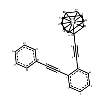 C(#Cc1ccccc1C#C[C]12[CH]3[CH]4[CH]5[CH]1[Fe]45321678[CH]2[CH]1[CH]6[CH]7[CH]28)c1ccccc1